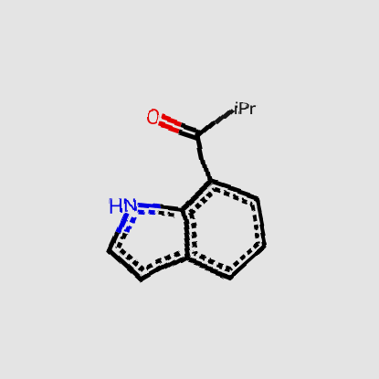 CC(C)C(=O)c1cccc2cc[nH]c12